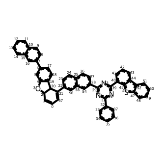 C1=CC2Oc3cc(-c4ccc5ccccc5c4)ccc3C2C(c2ccc3ccc(-c4nc(-c5ccccc5)nc(-c5cccc6c5sc5ccccc56)n4)cc3c2)=C1